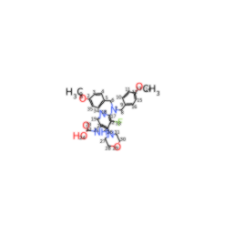 COc1ccc(CN(Cc2ccc(OC)cc2)c2ncc(NC(=O)O)c(N3CCOCC3)c2F)cc1